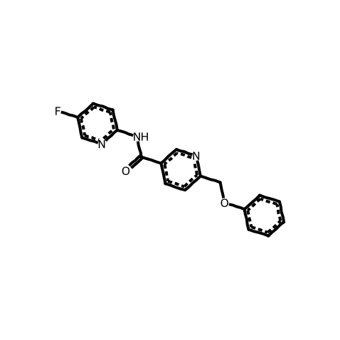 O=C(Nc1ccc(F)cn1)c1ccc(COc2ccccc2)nc1